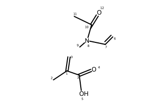 C=C(C)C(=O)O.C=CN(C)C(C)=O